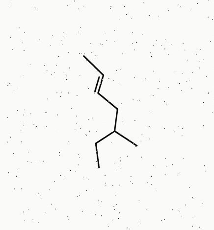 C/C=C/CC(C)CC